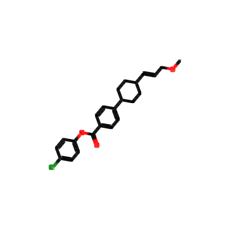 COC/C=C/C1CCC(c2ccc(C(=O)Oc3ccc(Cl)cc3)cc2)CC1